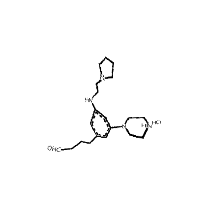 Cl.O=CCCCc1cc(NCCN2CCCC2)cc(N2CCNCC2)c1